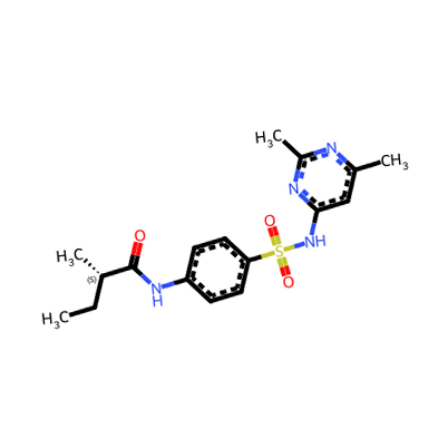 CC[C@H](C)C(=O)Nc1ccc(S(=O)(=O)Nc2cc(C)nc(C)n2)cc1